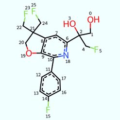 OCC(O)(CF)c1cc2c(c(-c3ccc(F)cc3)n1)OCC2(CF)CF